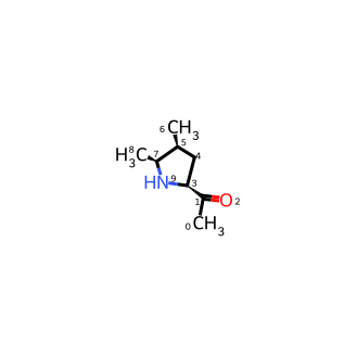 CC(=O)[C@@H]1C[C@H](C)[C@H](C)N1